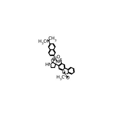 CN(C)c1ccc2cc(S(=O)(=O)N[C@]3(c4ccc(-c5ccccc5S(C)(=O)=O)cc4F)CCNC3=O)ccc2c1